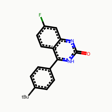 CC(C)(C)c1ccc(-c2[nH]c(=O)nc3cc(F)ccc23)cc1